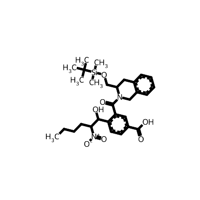 CCCCC(C(O)c1ccc(C(=O)O)cc1C(=O)N1Cc2ccccc2CC1CO[Si](C)(C)C(C)(C)C)[N+](=O)[O-]